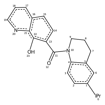 CC(C)c1ccc2c(c1)CCCN2C(=O)c1ccc2cccnc2c1O